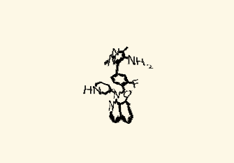 Cc1nn(C)c(-c2ccc(C(=O)N(c3nccc4cccc(C)c34)[C@@H]3CCCNC3)c(F)c2)c1N